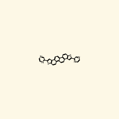 c1cnc(-c2cc3c(ccc4c3ccc3c5ccc6sc(-c7cnccn7)cc6c5ccc43)s2)cn1